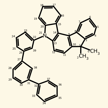 CC1(C)c2ccccc2-c2c1ccc1c2c2ccccc2n1-c1cccc(-c2cccc(-c3ccccc3)c2)c1